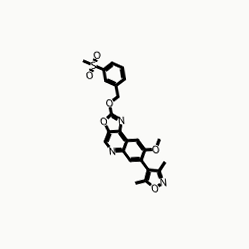 COc1cc2c(cc1-c1c(C)noc1C)ncc1oc(OCc3cccc(S(C)(=O)=O)c3)nc12